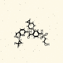 O=C(Nc1ccc2cnn([C@H]3CC3(F)F)c2n1)c1ccc(NS(=O)(=O)CCO)cc1N1CCC2(CC1)CC2